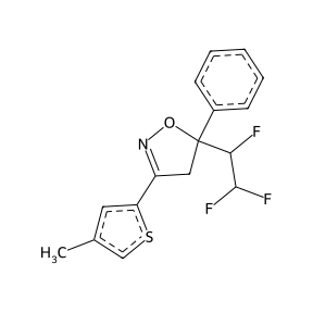 Cc1csc(C2=NOC(c3ccccc3)(C(F)C(F)F)C2)c1